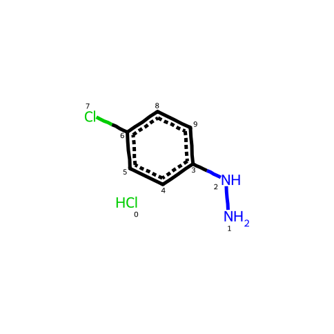 Cl.NNc1ccc(Cl)cc1